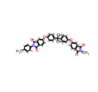 Cc1ccc(N2C(=O)c3ccc(Oc4ccc(C(C)(C)c5ccc(Oc6ccc7c(c6)C(=O)N(C)C7=O)cc5)cc4)cc3C2=O)cc1